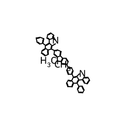 CC1(C)c2cc(-c3ccc(-c4c5ccccc5c(-c5ccccc5)c5c4cnc4ccccc45)cc3)ccc2-c2ccc(-c3c4ccccc4c(-c4ccccc4)c4c3cnc3ccccc34)cc21